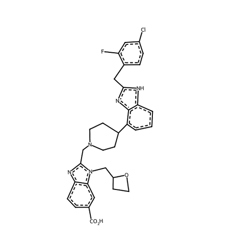 O=C(O)c1ccc2nc(CN3CCC(c4cccc5[nH]c(Cc6ccc(Cl)cc6F)nc45)CC3)n(CC3CCO3)c2c1